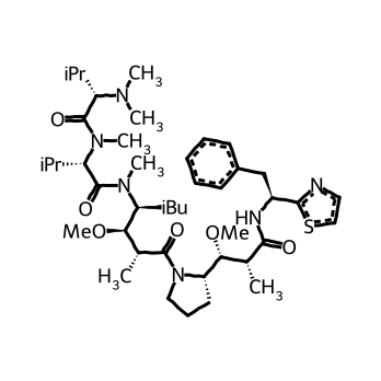 CCC(C)[C@@H]([C@H](OC)[C@@H](C)C(=O)N1CCC[C@H]1[C@H](OC)[C@@H](C)C(=O)N[C@@H](Cc1ccccc1)c1nccs1)N(C)C(=O)[C@H](C(C)C)N(C)C(=O)[C@H](C(C)C)N(C)C